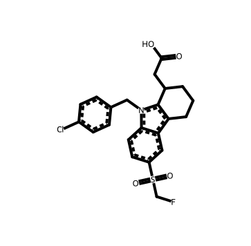 O=C(O)CC1CCCc2c1n(Cc1ccc(Cl)cc1)c1ccc(S(=O)(=O)CF)cc21